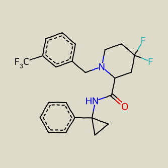 O=C(NC1(c2ccccc2)CC1)C1CC(F)(F)CCN1Cc1cccc(C(F)(F)F)c1